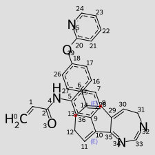 C=CC(=O)Nc1cccc(/C2=C\CC/C(c3ccc(Oc4ccccn4)cc3)=C\C3=CCN=CN=C32)c1